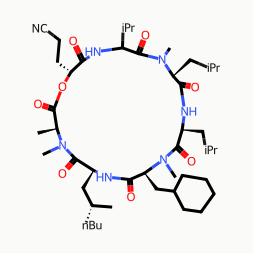 CCCC[C@@H](C)C[C@@H]1NC(=O)[C@H](CC2CCCCC2)N(C)C(=O)[C@H](CC(C)C)NC(=O)[C@H](CC(C)C)N(C)C(=O)C(C(C)C)NC(=O)[C@@H](CCC#N)OC(=O)[C@H](C)N(C)C1=O